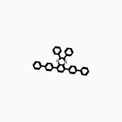 c1ccc(-c2ccc(-c3ccc(-c4ccc(-c5ccccc5)cc4)c4nc(-c5ccccc5)c(-c5ccccc5)nc34)cc2)cc1